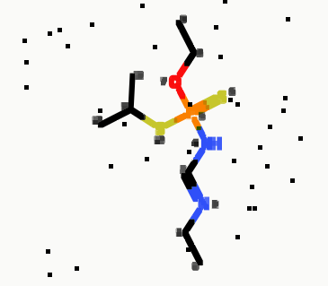 CCN=CNP(=S)(OCC)SC(C)C